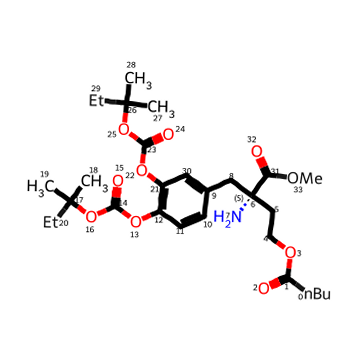 CCCCC(=O)OCC[C@@](N)(Cc1ccc(OC(=O)OC(C)(C)CC)c(OC(=O)OC(C)(C)CC)c1)C(=O)OC